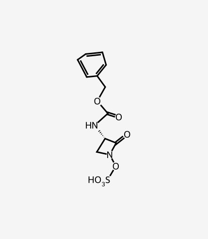 O=C(N[C@H]1CN(OS(=O)(=O)O)C1=O)OCc1ccccc1